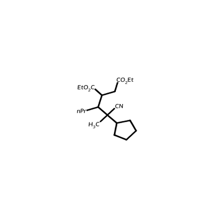 CCCC(C(CC(=O)OCC)C(=O)OCC)C(C)(C#N)C1CCCC1